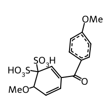 COc1ccc(C(=O)C2=CC(S(=O)(=O)O)(S(=O)(=O)O)C(OC)C=C2)cc1